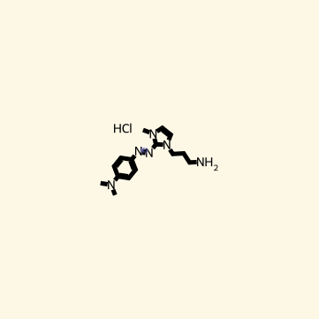 CN(C)c1ccc(/N=N/C2N(C)C=CN2CCCN)cc1.Cl